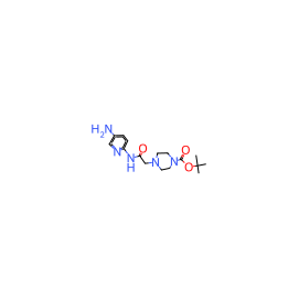 CC(C)(C)OC(=O)N1CCN(CC(=O)Nc2ccc(N)cn2)CC1